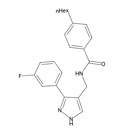 CCCCCCc1ccc(C(=O)NCc2c[nH]nc2-c2cccc(F)c2)cc1